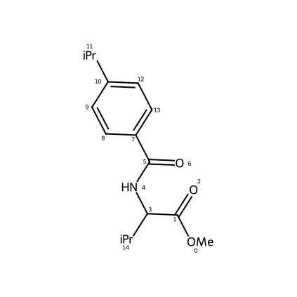 COC(=O)C(NC(=O)c1ccc(C(C)C)cc1)C(C)C